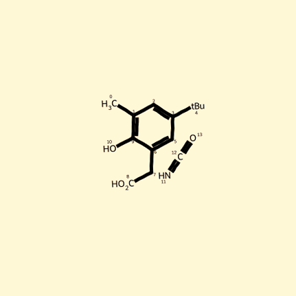 Cc1cc(C(C)(C)C)cc(CC(=O)O)c1O.N=C=O